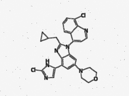 Clc1ncc(-c2cc(N3CCOCC3)cc3c2nc(CC2CC2)n3-c2ccnc3c(Cl)cccc23)[nH]1